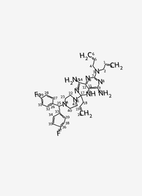 C=CCN(CC=C)c1nc(N)c2c(n1)C(N)=NC(CC=C)(N1CCN(C(c3ccc(F)cc3)c3ccc(F)cc3)CC1)N2